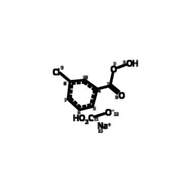 O=C(OO)c1cccc(Cl)c1.O=C([O-])O.[Na+]